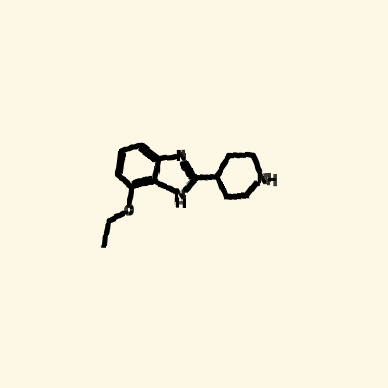 CCOc1cccc2nc(C3CCNCC3)[nH]c12